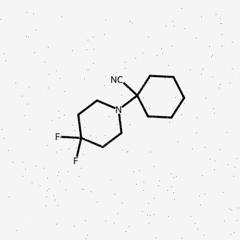 N#CC1(N2CCC(F)(F)CC2)CCCCC1